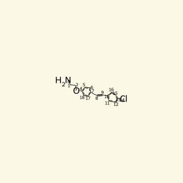 NCCOc1ccc(C#Cc2ccc(Cl)cc2)cc1